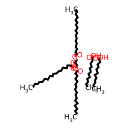 CCCCCCCCCCCC(=O)O.CCCCCCCCCCCC(=O)O.CCCCCCCCCCCCCCCCCC(=O)OCC(COC(=O)CCCCCCCCCCCCCCCCC)OC(=O)CCCCCCCCCCCCCCCCC